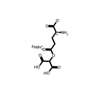 N[C@@H](CCC(=O)OC(C(=O)O)C(=O)O)C(=O)[O-].[Fe].[NH4+]